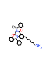 CCC(c1ccccc1)N1CC(=O)N(C(c2ccccc2)c2ccccc2)c2ccc(CCCCCCN)cc2C1=O